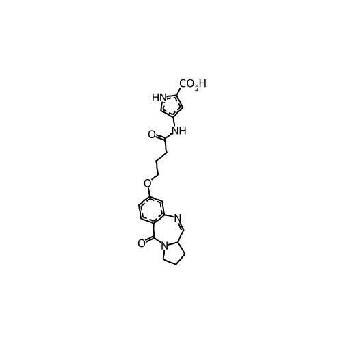 O=C(CCCOc1ccc2c(c1)N=CC1CCCN1C2=O)Nc1c[nH]c(C(=O)O)c1